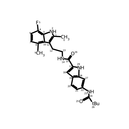 Cc1[nH]c2c(F)ccc(C)c2c1CCNC(=O)c1cc2ccc(NC(=O)C(C)(C)C)cc2[nH]1